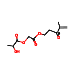 C=[C](C)[Co](=[O])[CH2]COC(=O)COC(=O)C(C)O